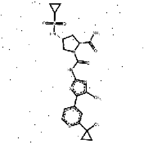 Cc1nc(NC(=O)N2C[C@H](NS(=O)(=O)C3CC3)C[C@H]2C(N)=O)sc1-c1ccnc(C2(C#N)CC2)c1